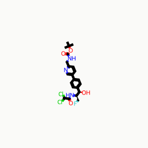 CC(C)(C)OC(=O)NCc1ccc(-c2ccc([C@@H](O)[C@@H](CF)NC(=O)C(Cl)Cl)cc2)cn1